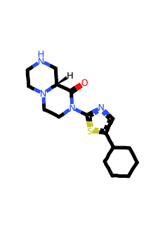 O=C1[C@H]2CNCCN2CCN1c1ncc(C2CCCCC2)s1